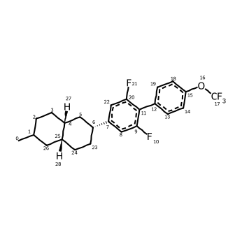 CC1CC[C@@H]2C[C@H](c3cc(F)c(-c4ccc(OC(F)(F)F)cc4)c(F)c3)CC[C@@H]2C1